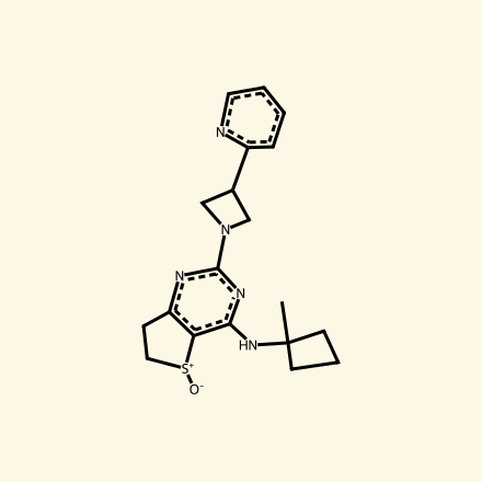 CC1(Nc2nc(N3CC(c4ccccn4)C3)nc3c2[S+]([O-])CC3)CCC1